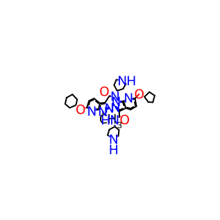 Cn1nc(C(=O)N(C2CCNCC2)n2nc(C(=O)NC3CCNCC3)c3ccc(OC4CCCC4)nc32)c2ccc(OC3CCCCC3)nc21